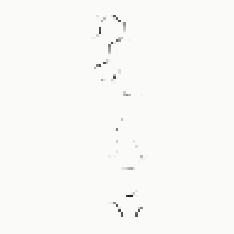 Cc1sc(C(=O)NCCC2CCN(Cc3ccccc3)CC2)nc1-c1cccnc1